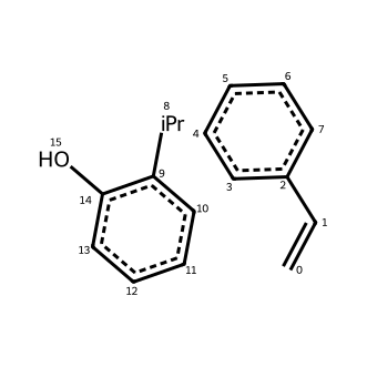 C=Cc1ccccc1.CC(C)c1ccccc1O